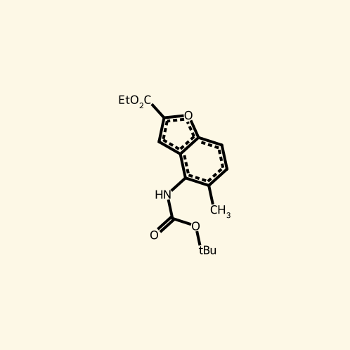 CCOC(=O)c1cc2c(NC(=O)OC(C)(C)C)c(C)ccc2o1